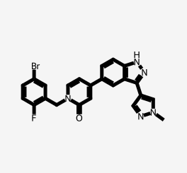 Cn1cc(-c2n[nH]c3ccc(-c4ccn(Cc5cc(Br)ccc5F)c(=O)c4)cc23)cn1